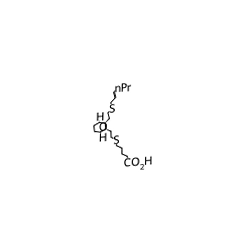 CCCC=CCSCC[C@H]1[C@@H](CCSCCCCC(=O)O)[C@H]2CC[C@@H]1O2